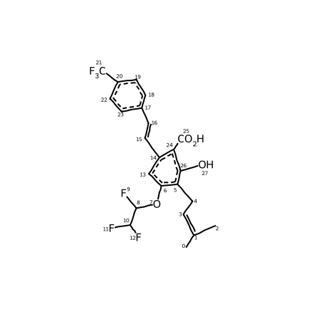 CC(C)=CCc1c(OC(F)C(F)F)cc(C=Cc2ccc(C(F)(F)F)cc2)c(C(=O)O)c1O